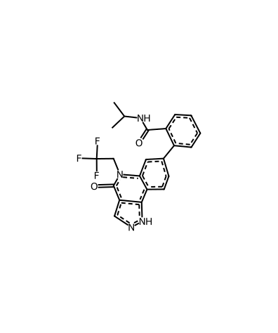 CC(C)NC(=O)c1ccccc1-c1ccc2c3[nH]ncc3c(=O)n(CC(F)(F)F)c2c1